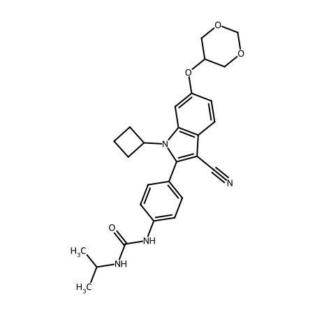 CC(C)NC(=O)Nc1ccc(-c2c(C#N)c3ccc(OC4COCOC4)cc3n2C2CCC2)cc1